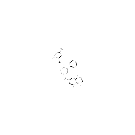 Cn1nc(C(F)(F)F)cc1C(=O)N[C@H]1CCN(C(=O)c2cc(Cl)c3nccnc3c2)C[C@@H]1c1ccccc1